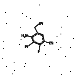 CC(C)Cc1cc(C#N)c(F)c(C(C)C)c1N